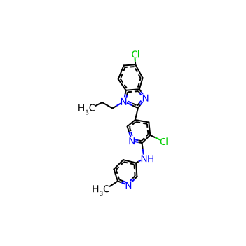 CCCn1c(-c2cnc(Nc3ccc(C)nc3)c(Cl)c2)nc2cc(Cl)ccc21